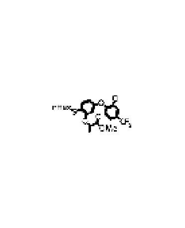 CCCCCCSc1ccc(Oc2ccc(C(F)(F)F)cc2Cl)cc1OC(C)C(=O)OC